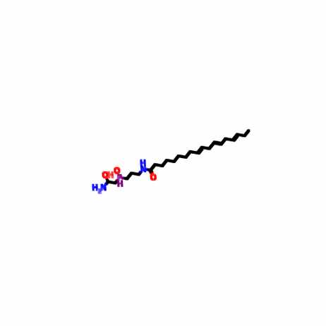 CCC=CCC=CCC=CCCCCCCCC(=O)NCCC[PH](=O)CC(N)O